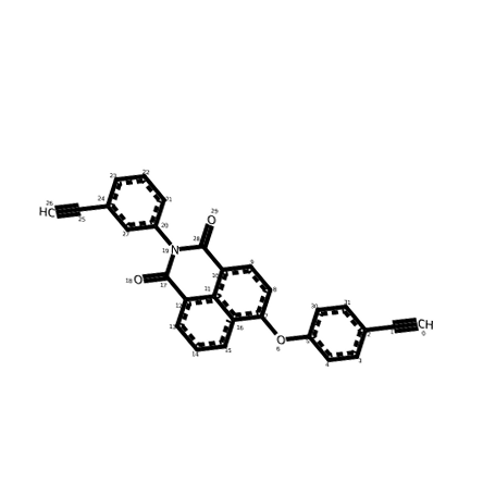 C#Cc1ccc(Oc2ccc3c4c(cccc24)C(=O)N(c2cccc(C#C)c2)C3=O)cc1